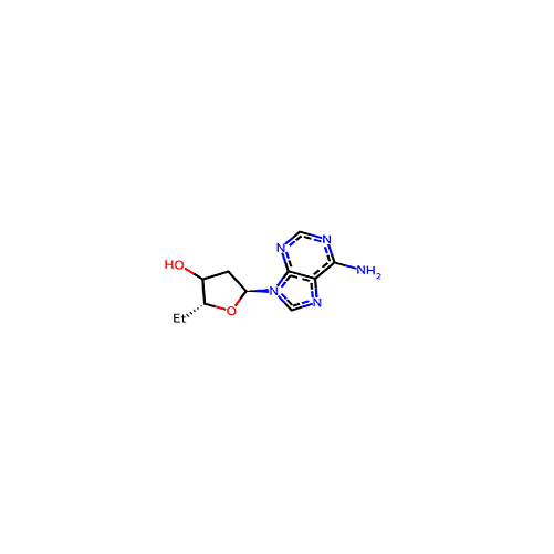 CC[C@H]1O[C@H](n2cnc3c(N)ncnc32)CC1O